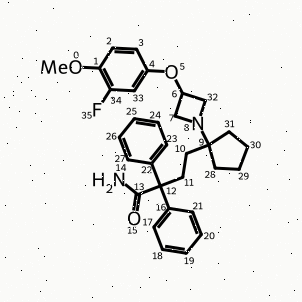 COc1ccc(OC2CN(C3(CCC(C(N)=O)(c4ccccc4)c4ccccc4)CCCC3)C2)cc1F